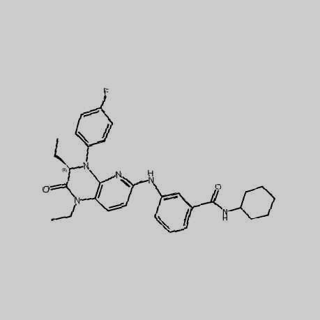 CC[C@@H]1C(=O)N(CC)c2ccc(Nc3cccc(C(=O)NC4CCCCC4)c3)nc2N1c1ccc(F)cc1